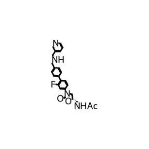 CC(=O)NC[C@H]1CN(c2ccc(-c3ccc(CNCc4cccnc4)cc3)c(F)c2)C(=O)O1